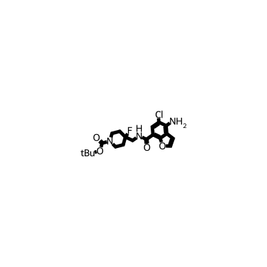 CC(C)(C)OC(=O)N1CCC(F)(CNC(=O)c2cc(Cl)c(N)c3ccoc23)CC1